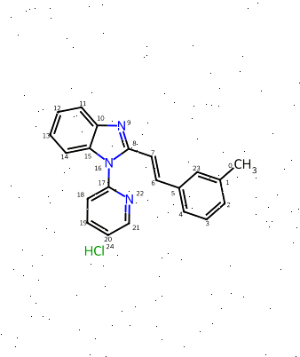 Cc1cccc(C=Cc2nc3ccccc3n2-c2ccccn2)c1.Cl